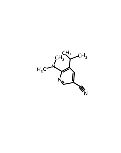 CC(C)c1cc(C#N)cnc1N(C)C